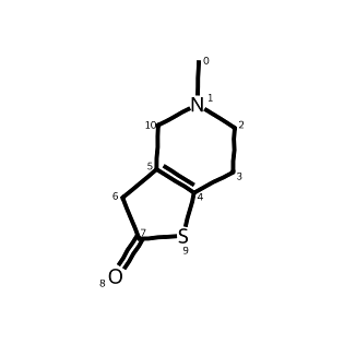 CN1CCC2=C(CC(=O)S2)C1